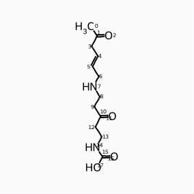 CC(=O)C/C=C/CNCCC(=O)CCNC(=O)O